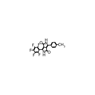 Cc1ccc(C2=C3C(=O)NC(c4c(F)c(F)c(F)c(F)c4F)=C3C(=O)N2)cc1